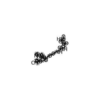 O=C1CCC(N2Cc3cc(NC(=O)CCNCCOCCOCCNC(=O)[C@]4(Cc5cccc(Nc6nccs6)n5)CC[C@@H](Oc5cccc(Cl)c5F)CC4)ccc3C2=O)C(=O)N1